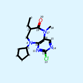 CCC1CN(C2CCCC2)c2nc(Cl)ncc2N(C)C1=O